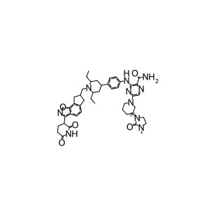 CCC1CC(c2ccc(Nc3nc(N4CCC[C@@H](N5CCN(C)C5=O)C4)cnc3C(N)=O)cc2)CC(CC)N1CC1Cc2ccc3c(C4CCC(=O)NC4=O)noc3c2C1